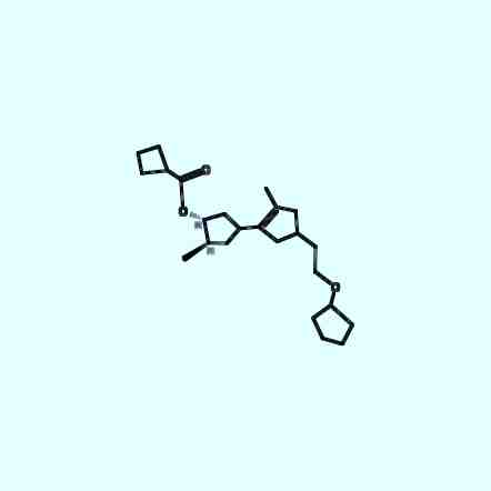 CC1=C(C2C[C@@H](C)[C@H](OC(=O)C3CCC3)C2)CC(CCOC2CCCC2)C1